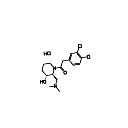 CN(C)C[C@H]1[C@H](O)CCCN1C(=O)Cc1ccc(Cl)c(Cl)c1.Cl